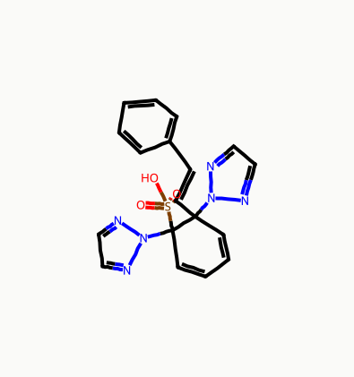 O=S(=O)(O)C1(n2nccn2)C=CC=CC1(/C=C/c1ccccc1)n1nccn1